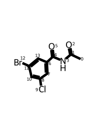 CC(=O)NC(=O)c1cc(Cl)cc(Br)c1